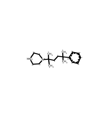 CC(C)(CCC(C)(C)N1CCNCC1)c1ccccc1